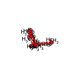 C=CC1CCCCCC(OCC(=O)NCCOCCOCCOCCOCCC(=O)N[C@H](C(=O)N[C@@H](CCCNC(N)=O)C(=O)Nc2ccc(COC(=O)NCc3c4c(nc5ccc(OC)cc35)-c3cc5c(c(=O)n3C4)COC(=O)[C@]5(O)CC)cc2)C(C)C)C1